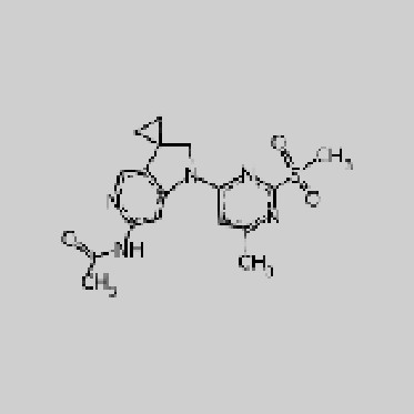 CC(=O)Nc1cc2c(cn1)C1(CC1)CN2c1cc(C)nc(S(C)(=O)=O)n1